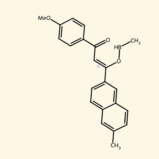 CBO/C(=C\C(=O)c1ccc(OC)cc1)c1ccc2cc(C)ccc2c1